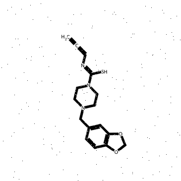 C=C=C/N=C(\S)N1CCN(Cc2ccc3c(c2)OCO3)CC1